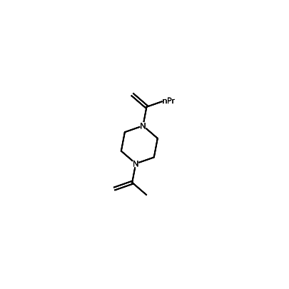 C=C(C)N1CCN(C(=C)CCC)CC1